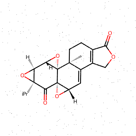 CC(C)[C@]12O[C@H]1[C@@H]1O[C@@]13[C@@]1(C)CCC4=C(COC4=O)C1=C[C@@H]1O[C@@]13C2=O